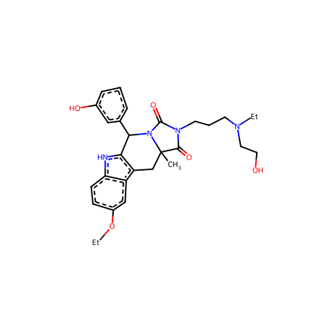 CCOc1ccc2[nH]c3c(c2c1)CC1(C)C(=O)N(CCCN(CC)CCO)C(=O)N1C3c1cccc(O)c1